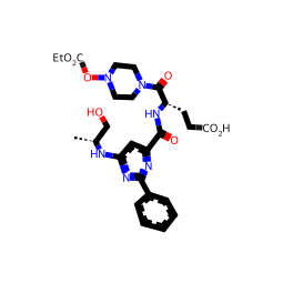 CCOC(=O)ON1CCN(C(=O)[C@H](CCC(=O)O)NC(=O)c2cc(N[C@H](C)CO)nc(-c3ccccc3)n2)CC1